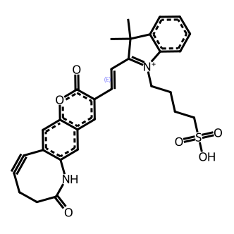 CC1(C)C(/C=C/c2cc3cc4c(cc3oc2=O)C#CCCC(=O)N4)=[N+](CCCCS(=O)(=O)O)c2ccccc21